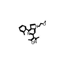 COCCn1ccc2c(-c3ccccc3C)nc(-c3c(C)noc3C)cc21